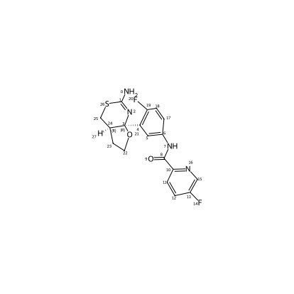 NC1=N[C@@]2(c3cc(NC(=O)c4ccc(F)cn4)ccc3F)OCC[C@H]2CS1